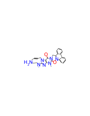 CC#CCn1c(N(C)CCN)nc2c1c(=O)n(Cc1nc3ccccc3c3ccccc13)c(=O)n2C